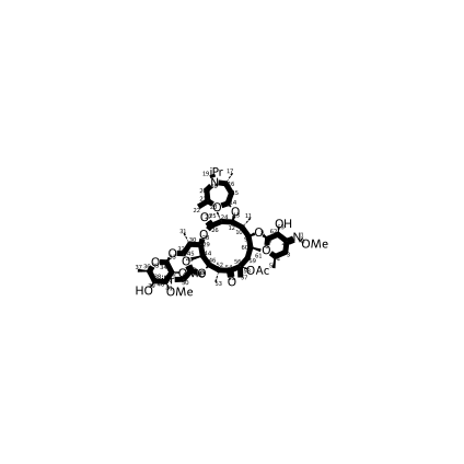 CON=C1C[C@@H](C)O[C@@H](O[C@@H]2[C@@H](C)[C@H](O[C@H]3C[C@@H](C)N(C(C)C)CC(C)O3)[C@@H](C)C(=O)OC([C@@H](C)CO[C@@H]3O[C@H](C)[C@@H](O)[C@@H](OC)[C@H]3OC)[C@H](C)[C@@H](OC(=O)CC(C)C)[C@@H](C)C(=O)[C@@](C)(OC(C)=O)C[C@@H]2C)[C@@H]1O